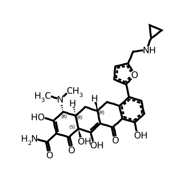 CN(C)[C@H]1C(O)=C(C(N)=O)C(=O)[C@@]2(O)C(O)=C3C(=O)c4c(O)ccc(-c5ccc(CNC6CC6)o5)c4C[C@H]3C[C@H]12